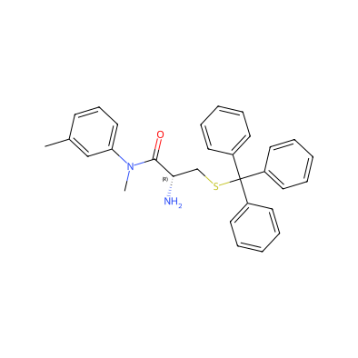 Cc1cccc(N(C)C(=O)[C@@H](N)CSC(c2ccccc2)(c2ccccc2)c2ccccc2)c1